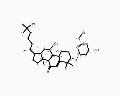 C[C@H](CCCC(C)(C)N=O)C1CC[C@@]2(C)C3C(=O)C=C4C(CC[C@H](O[C@H]5C[C@@H](O)C[C@@H](CO)O5)C4(C)C)[C@]3(C)[C@H](O)C[C@]12C